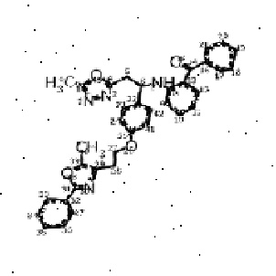 Cc1nnc(CC(Nc2ccccc2C(=O)c2ccccc2)c2ccc(OCCc3nc(-c4ccccc4)oc3C)cc2)o1